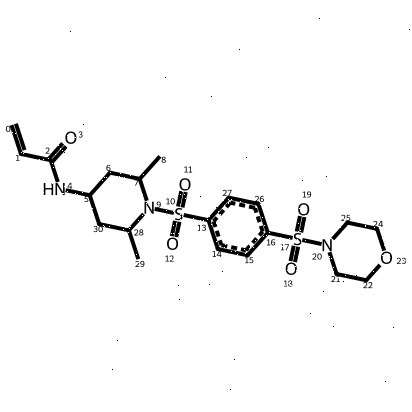 C=CC(=O)NC1CC(C)N(S(=O)(=O)c2ccc(S(=O)(=O)N3CCOCC3)cc2)C(C)C1